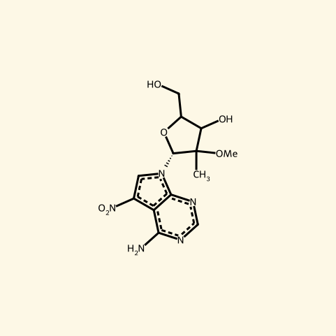 COC1(C)C(O)C(CO)O[C@H]1n1cc([N+](=O)[O-])c2c(N)ncnc21